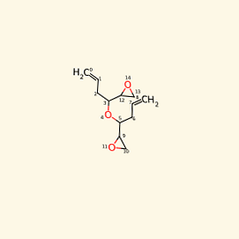 C=CCC(OC(CC=C)C1CO1)C1CO1